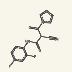 N#CC(C(=O)Nc1ccc(F)cc1F)C(=O)n1cccc1